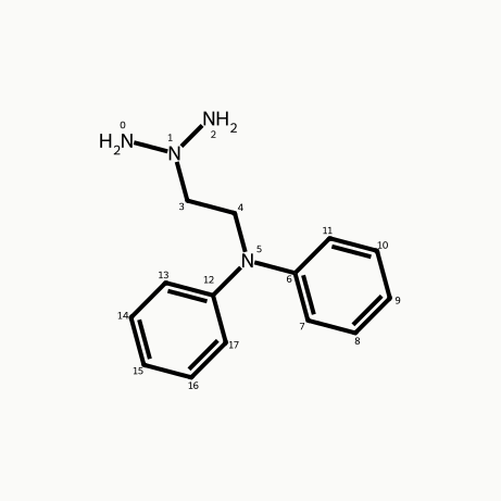 NN(N)CCN(c1ccccc1)c1ccccc1